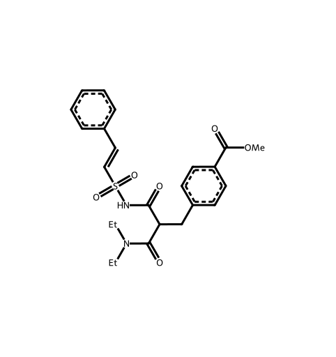 CCN(CC)C(=O)C(Cc1ccc(C(=O)OC)cc1)C(=O)NS(=O)(=O)C=Cc1ccccc1